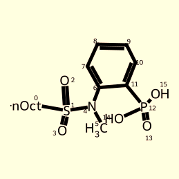 CCCCCCC[CH]S(=O)(=O)N(C)c1ccccc1P(=O)(O)O